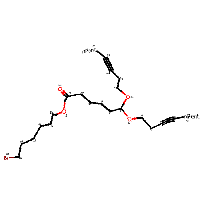 CCCCCC#CCCOC(CCCCC(=O)OCCCCCCBr)OCCC#CCCCCC